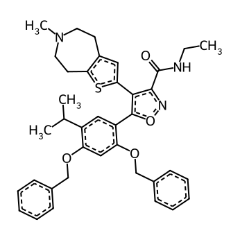 CCNC(=O)c1noc(-c2cc(C(C)C)c(OCc3ccccc3)cc2OCc2ccccc2)c1-c1cc2c(s1)CCN(C)CC2